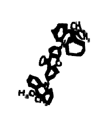 CC1(C)c2ccccc2N(c2ccc3c(=O)c4cc(N5c6ccccc6C(C)(C)c6ccccc65)ccc4oc3c2)c2ccccc21